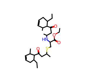 CCOC(=O)C(CSC(C)CC(=O)C1C(C)C=CCC1CC)NC(C)CC(=O)C1C(C)C=CCC1CC